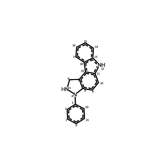 c1ccc(N2NCc3c2ccc2[nH]c4ccccc4c32)cc1